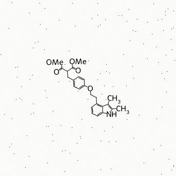 COC(=O)C(Cc1ccc(OCCc2cccc3[nH]c(C)c(C)c23)cc1)C(=O)OC